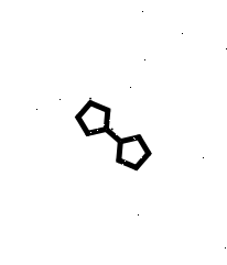 [CH]1CC[C](C2CCCC2)C1